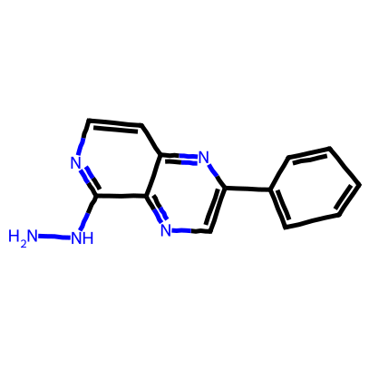 NNc1nccc2nc(-c3ccccc3)cnc12